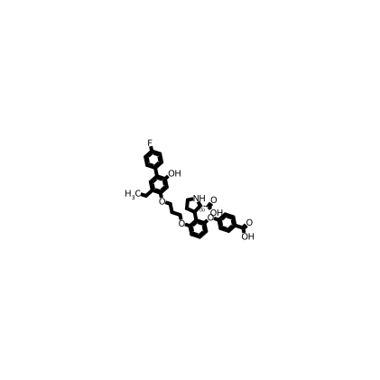 CCc1cc(-c2ccc(F)cc2)c(O)cc1OCCCOc1cccc(Oc2ccc(C(=O)O)cc2)c1C1CCN[C@@H]1C(=O)O